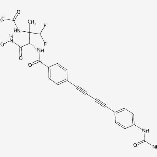 CC(=O)NC(C)(C(F)F)[C@H](NC(=O)c1ccc(C#CC#Cc2ccc(NC(N)=O)cc2)cc1)C(=O)NO